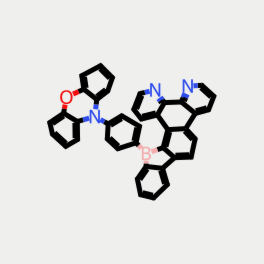 c1ccc2c(c1)Oc1ccccc1N2c1ccc(B2c3ccccc3-c3ccc4c5cccnc5c5ncccc5c4c32)cc1